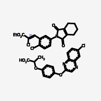 CC(Oc1ccc(Oc2cnc3cc(Cl)ccc3n2)cc1)C(=O)O.CCOC(=O)/C(Cl)=C/c1cc(N2C(=O)C3=C(CCCC3)C2=O)ccc1Cl